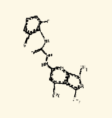 CCCc1cc(NNC(=O)Nc2c(F)cccc2F)nc2c1c(C)nn2C